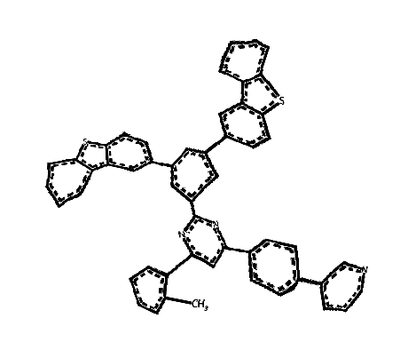 Cc1ccccc1-c1cc(-c2ccc(-c3cccnc3)cc2)nc(-c2cc(-c3ccc4sc5ccccc5c4c3)cc(-c3ccc4sc5ccccc5c4c3)c2)n1